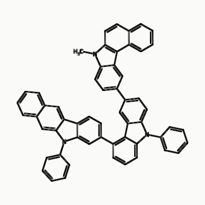 Cn1c2ccc(-c3ccc4c(c3)c3c(-c5ccc6c7cc8ccccc8cc7n(-c7ccccc7)c6c5)cccc3n4-c3ccccc3)cc2c2c3ccccc3ccc21